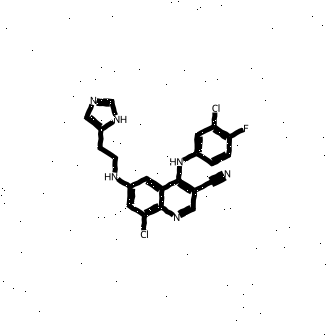 N#Cc1cnc2c(Cl)cc(NCCc3cnc[nH]3)cc2c1Nc1ccc(F)c(Cl)c1